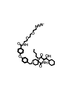 CCCCN1C(=O)[C@@H]([C@@H](O)C2CCCCC2)NC(=O)C12CCN(Cc1ccc(Oc3ccc(C(=O)NCCOCCOCCN=[N+]=[N-])cc3)cc1)CC2